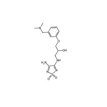 CN(C)Cc1cccc(OCC(O)CNC2=NS(=O)(=O)N=C2N)c1